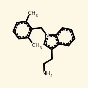 Cc1cccc(C)c1Cn1cc(CCN)c2ccccc21